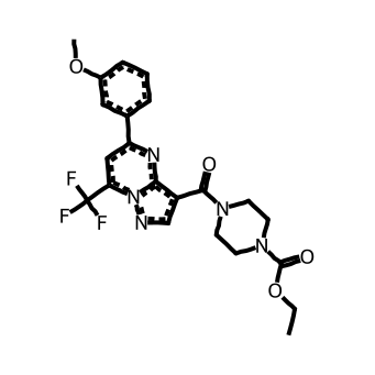 CCOC(=O)N1CCN(C(=O)c2cnn3c(C(F)(F)F)cc(-c4cccc(OC)c4)nc23)CC1